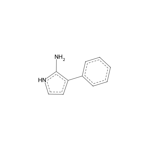 Nc1[nH]ccc1-c1ccccc1